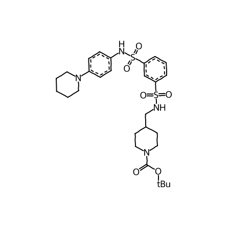 CC(C)(C)OC(=O)N1CCC(CNS(=O)(=O)c2cccc(S(=O)(=O)Nc3ccc(N4CCCCC4)cc3)c2)CC1